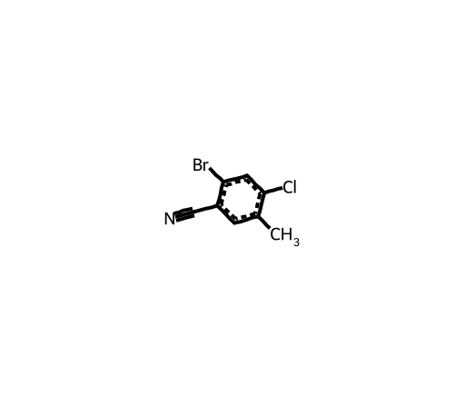 Cc1cc(C#N)c(Br)cc1Cl